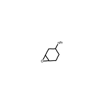 [CH2]CCC1CCC2OC2C1